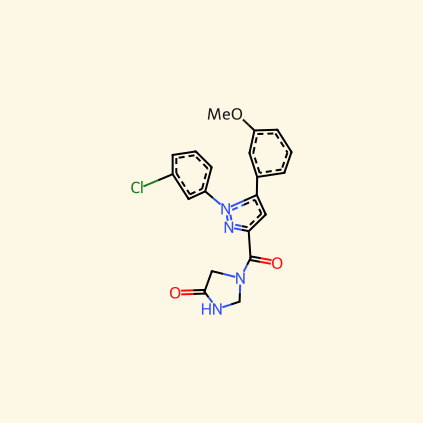 COc1cccc(-c2cc(C(=O)N3CNC(=O)C3)nn2-c2cccc(Cl)c2)c1